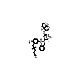 COc1ccc(S(=O)(=O)N(Cc2ccccc2)[C@H](NC(=O)O[C@@H]2CO[C@@H]3OCC[C@@H]32)[C@@H](C)O)cc1CC(C)(C)CCC#N